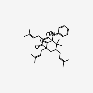 COC1=C(CC=C(C)C)C(=O)C2(CC=C(C)C)CC(CC=C(C)C)C(C)(C)C1(C(=O)c1ccccc1)C2=O